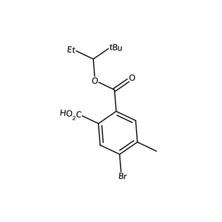 CCC(OC(=O)c1cc(C)c(Br)cc1C(=O)O)C(C)(C)C